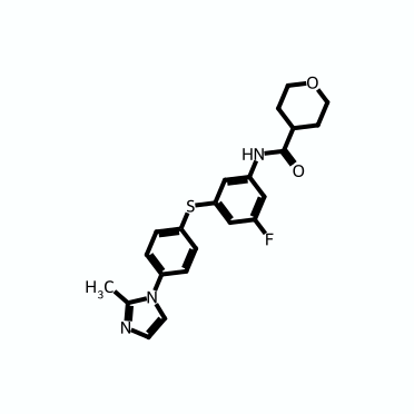 Cc1nccn1-c1ccc(Sc2cc(F)cc(NC(=O)C3CCOCC3)c2)cc1